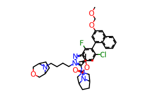 COCOc1cc(-c2c(Cl)cc3c(N4CC5CCC(C4)N5C(=O)OC(C)(C)C)n(CCCCN4C5CCC4COC5)nc3c2F)c2ccccc2c1